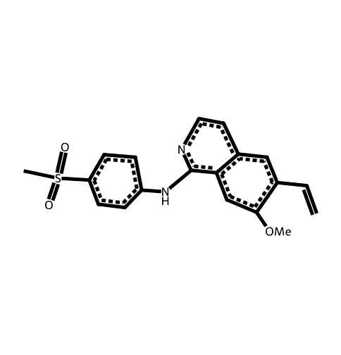 C=Cc1cc2ccnc(Nc3ccc(S(C)(=O)=O)cc3)c2cc1OC